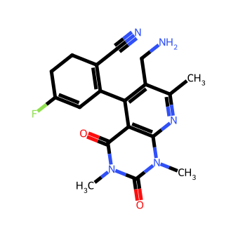 Cc1nc2c(c(C3=C(C#N)CCC(F)=C3)c1CN)c(=O)n(C)c(=O)n2C